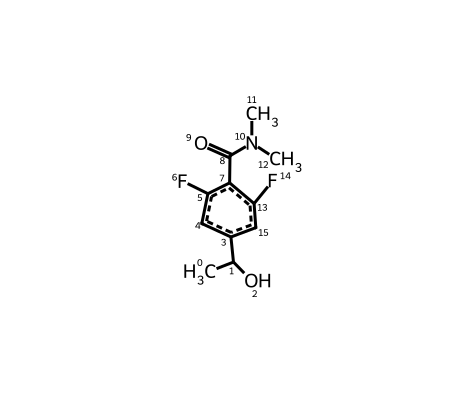 CC(O)c1cc(F)c(C(=O)N(C)C)c(F)c1